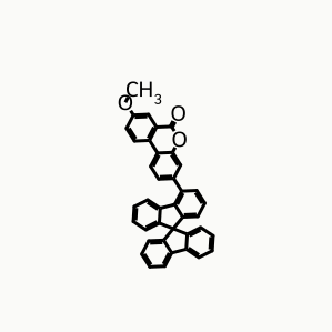 COc1ccc2c(c1)c(=O)oc1cc(-c3cccc4c3-c3ccccc3C43c4ccccc4-c4ccccc43)ccc12